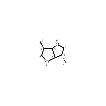 C[C@@H]1COC2C1OC[C@@H]2C